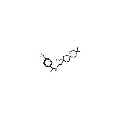 C[C@H](NCCC1(O)CCC2(CC1)OCC(C)(C)CO2)c1ccc(C(F)(F)F)cc1